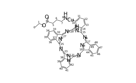 CCOC(=O)CCC[NH][Cu][c]1cccc2c3nc4nc(nc5[nH]c(nc6nc(nc([nH]3)c12)-c1ccccc1-6)c1ccccc51)-c1ccccc1-4